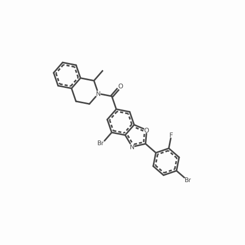 CC1c2ccccc2CCN1C(=O)c1cc(Br)c2nc(-c3ccc(Br)cc3F)oc2c1